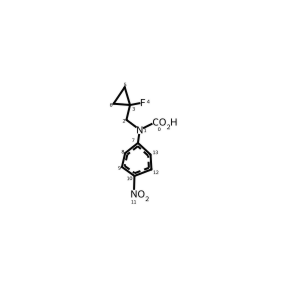 O=C(O)N(CC1(F)CC1)c1ccc([N+](=O)[O-])cc1